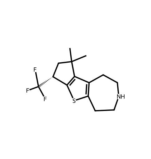 CC1(C)C[C@@H](C(F)(F)F)c2sc3c(c21)CCNCC3